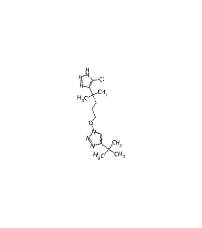 CC(C)(C)c1cn(OCCCC(C)(C)c2nn[nH]c2Cl)nn1